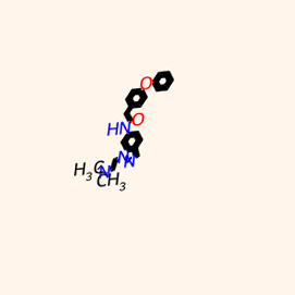 CN(C)CCn1ncc2ccc(NC(=O)Cc3ccc(Oc4ccccc4)cc3)cc21